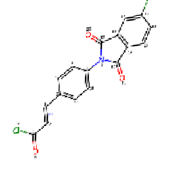 O=C(Cl)/C=C/c1ccc(N2C(=O)c3ccc(F)cc3C2=O)cc1